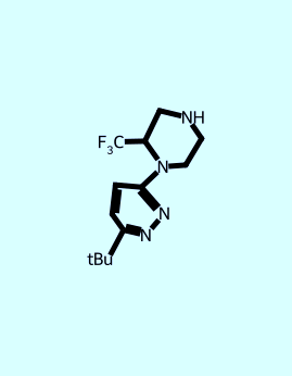 CC(C)(C)c1ccc(N2CCNCC2C(F)(F)F)nn1